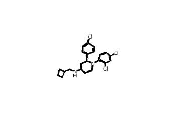 Clc1ccc(C2CC(NCC3CCC3)CCN2c2ccc(Cl)cc2Cl)cc1